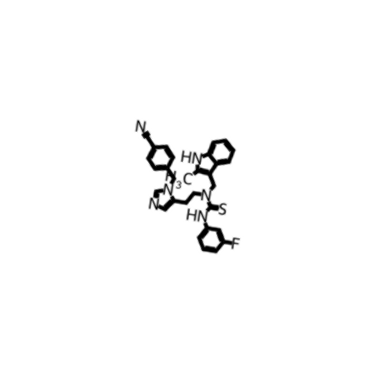 Cc1[nH]c2ccccc2c1CN(CCc1cncn1Cc1ccc(C#N)cc1)C(=S)Nc1cccc(F)c1